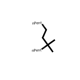 CCCCCCCC(C)(C)CCCCC